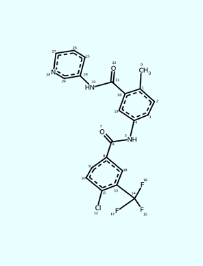 Cc1ccc(NC(=O)c2ccc(Cl)c(C(F)(F)F)c2)cc1C(=O)Nc1cccnc1